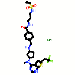 C=CS(=O)(=O)NCCCNC(=O)c1ccc(CN[C@H]2CC[C@@H](N(C)c3ncnc4sc(CC(F)(F)F)cc34)C2)cc1.Cl